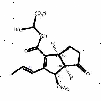 C/C=C/C1=C(C(=O)NC(C(=O)O)C(C)CC)[C@H]2CCC(=O)[C@H]2[C@H]1OC